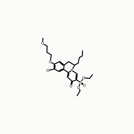 CCCCC1Cc2cc(OCCCOC)c(Cl)cc2-c2cc(=O)c(P(=O)(OCC)OCC)cn21